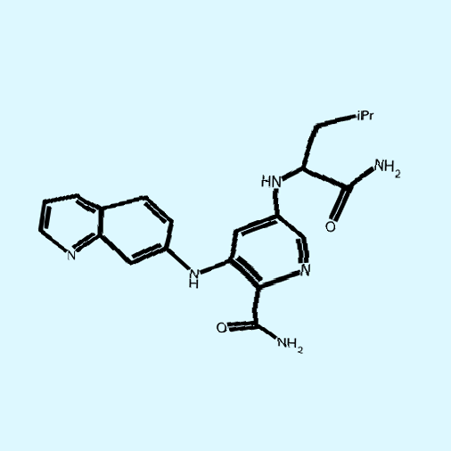 CC(C)CC(Nc1cnc(C(N)=O)c(Nc2ccc3cccnc3c2)c1)C(N)=O